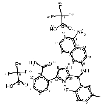 Cc1ccc(F)c(C(Nc2ccc3c(N)nccc3c2)c2nc(-c3ccccc3C(N)=O)c[nH]2)c1.O=C(O)C(F)(F)F.O=C(O)C(F)(F)F